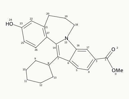 COC(=O)c1ccc2c(C3CCCCC3)c3n(c2c1)CCCc1cc(O)ccc1-3